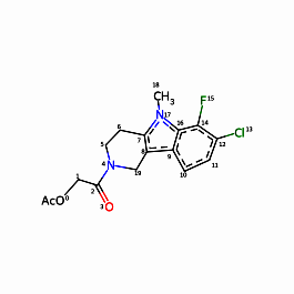 CC(=O)OCC(=O)N1CCc2c(c3ccc(Cl)c(F)c3n2C)C1